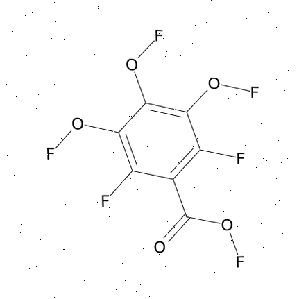 O=C(OF)c1c(F)c(OF)c(OF)c(OF)c1F